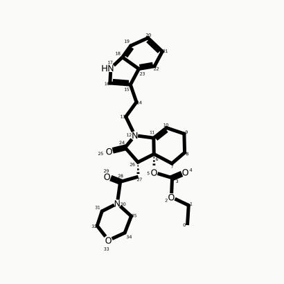 CCOC(=O)O[C@@]12CCCC=C1N(CCc1c[nH]c3ccccc13)C(=O)[C@H]2CC(=O)N1CCOCC1